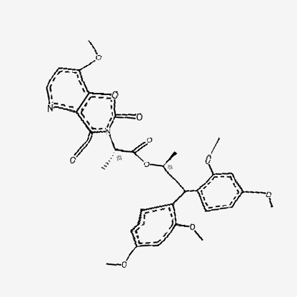 COc1ccc(C(c2ccc(OC)cc2OC)[C@H](C)OC(=O)[C@H](C)n2c(=O)oc3c(OC)ccnc3c2=O)c(OC)c1